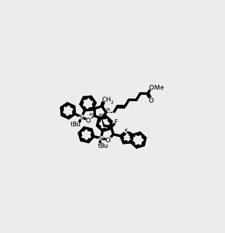 C=C1C[C@@H](O[Si](c2ccccc2)(c2ccccc2)C(C)(C)C)[C@H](CC(F)C(O[Si](c2ccccc2)(c2ccccc2)C(C)(C)C)c2cc3ccccc3s2)[C@H]1CC=CCCCC(=O)OC